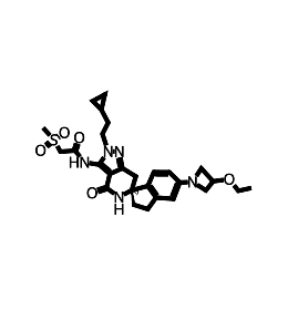 CCOC1CN(c2ccc3c(c2)CC[C@@]32Cc3nn(CCC4CC4)c(NC(=O)CS(C)(=O)=O)c3C(=O)N2)C1